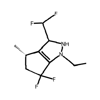 CCN1NC(C(F)F)C2=C1C(F)(F)C[C@@H]2C